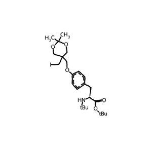 CC(C)(C)N[C@@H](Cc1ccc(OCC2(CI)COC(C)(C)OC2)cc1)C(=O)OC(C)(C)C